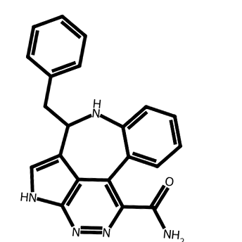 NC(=O)c1nnc2[nH]cc3c2c1-c1ccccc1NC3Cc1ccccc1